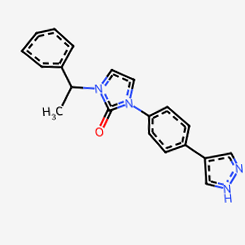 CC(c1ccccc1)n1ccn(-c2ccc(-c3cn[nH]c3)cc2)c1=O